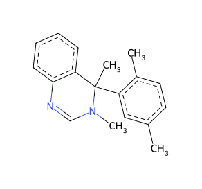 Cc1ccc(C)c(C2(C)c3ccccc3N=CN2C)c1